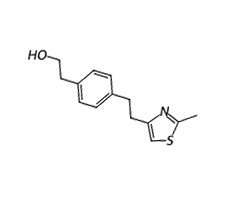 Cc1nc(CCc2ccc(CCO)cc2)cs1